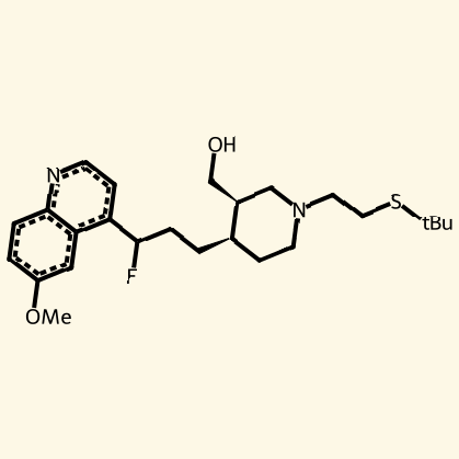 COc1ccc2nccc(C(F)CC[C@@H]3CCN(CCSC(C)(C)C)C[C@@H]3CO)c2c1